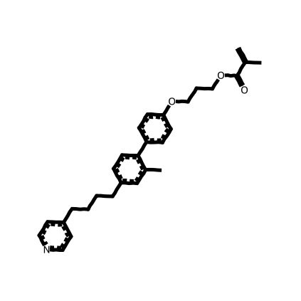 C=C(C)C(=O)OCCCOc1ccc(-c2ccc(CCCCc3ccncc3)cc2C)cc1